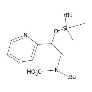 CC(C)(C)N(CC(O[Si](C)(C)C(C)(C)C)c1ccccn1)C(=O)O